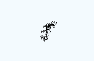 CS(=O)(=O)c1cc(OCC(=O)NC23CCC(NC(=O)O)(CC2)[C@@H](O)C3)ccc1F